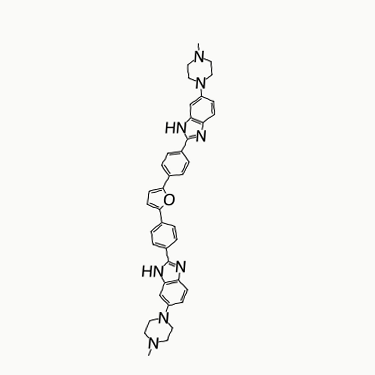 CN1CCN(c2ccc3nc(-c4ccc(-c5ccc(-c6ccc(-c7nc8ccc(N9CCN(C)CC9)cc8[nH]7)cc6)o5)cc4)[nH]c3c2)CC1